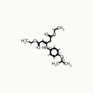 CCOC(=O)/C=C(/CC(=O)OCC)Nc1ccc(OC(C)C)cc1